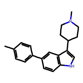 Cc1ccc(-c2ccc3[nH]cc(C4CCN(C)CC4)c3c2)cc1